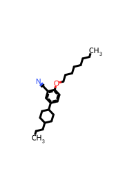 CCCCCCCCOc1ccc(C2CCC(CCC)CC2)cc1C#N